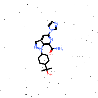 CC(C)(O)C1CCC(n2ncc3cc(-n4ccnc4)nc(C(N)=O)c32)CC1